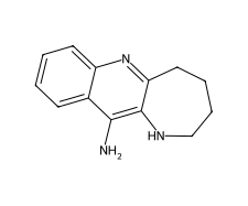 Nc1c2c(nc3ccccc13)CCCCN2